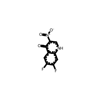 O=c1c([N+](=O)[O-])c[nH]c2cc(F)c(F)cc12